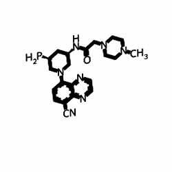 CN1CCN(CC(=O)N[C@@H]2C[C@H](P)CN(c3ccc(C#N)c4nccnc34)C2)CC1